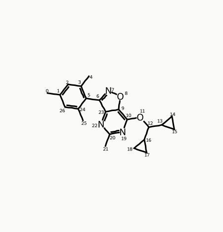 Cc1cc(C)c(-c2noc3c(OC(C4CC4)C4CC4)nc(C)nc23)c(C)c1